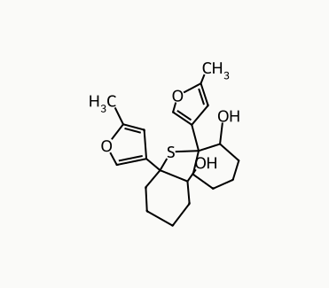 Cc1cc(C2(SC3(c4coc(C)c4)CCCCC3O)CCCCC2O)co1